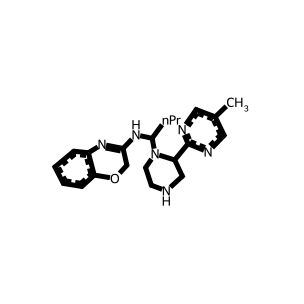 CCCC(NC1=Nc2ccccc2OC1)N1CCNCC1c1ncc(C)cn1